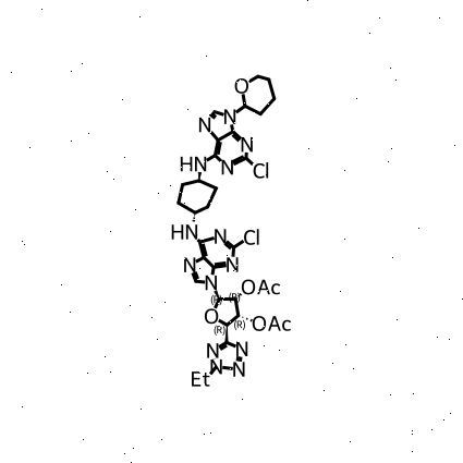 CCn1nnc([C@H]2O[C@@H](n3cnc4c(N[C@H]5CC[C@H](Nc6nc(Cl)nc7c6ncn7C6CCCCO6)CC5)nc(Cl)nc43)[C@H](OC(C)=O)[C@@H]2OC(C)=O)n1